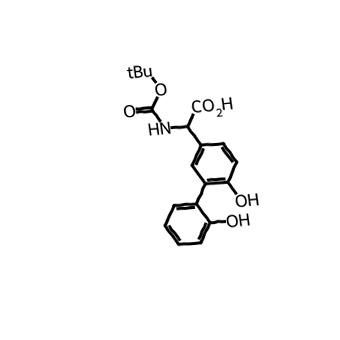 CC(C)(C)OC(=O)NC(C(=O)O)c1ccc(O)c(-c2ccccc2O)c1